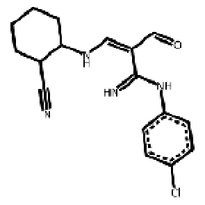 N#CC1CCCCC1N/C=C(/C=O)C(=N)Nc1ccc(Cl)cc1